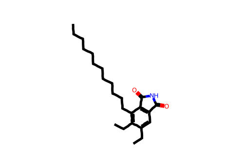 CCCCCCCCCCCCc1c(CC)c(CC)cc2c1C(=O)NC2=O